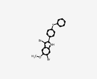 COc1cc2c(Br)c(-c3ccc(Sc4ccccc4)cc3)[nH]c2cc1Br